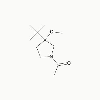 COC1(C(C)(C)C)CCN(C(C)=O)C1